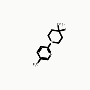 O=C(O)C1(F)CCN(c2ccc(C(F)(F)F)cn2)CC1